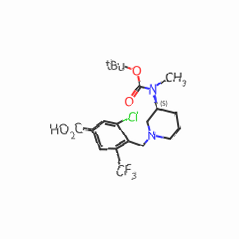 CN(C(=O)OC(C)(C)C)[C@H]1CCCN(Cc2c(Cl)cc(C(=O)O)cc2C(F)(F)F)C1